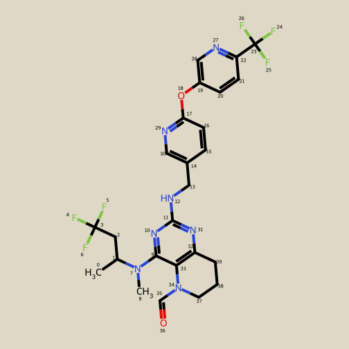 CC(CC(F)(F)F)N(C)c1nc(NCc2ccc(Oc3ccc(C(F)(F)F)nc3)nc2)nc2c1N(C=O)CCC2